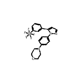 FS(F)(F)(F)(F)c1cccc(-c2ccnn2-c2ccc(N3CCOCC3)cc2)c1